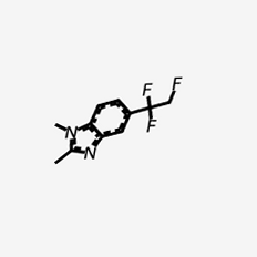 Cc1nc2cc(C(F)(F)CF)ccc2n1C